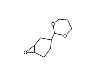 C1COC(C2CCC3OC3C2)OC1